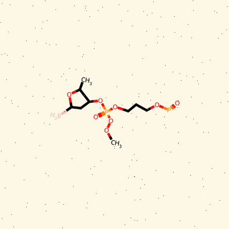 BC1CC(OP(=O)(OCCCOP=O)OOC)C(C)O1